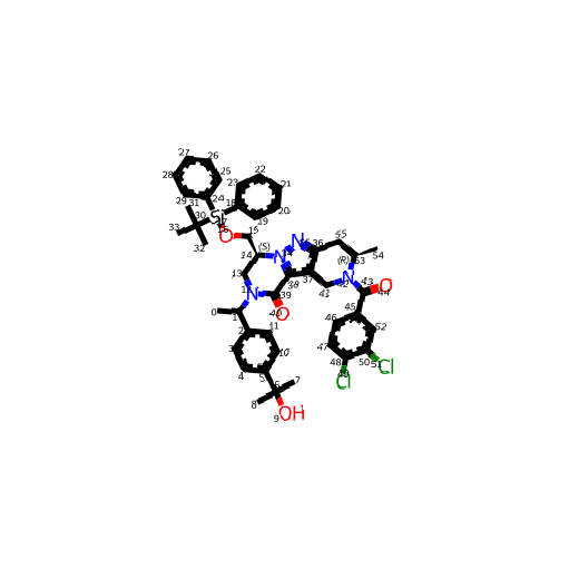 CC(c1ccc(C(C)(C)O)cc1)N1C[C@@H](CO[Si](c2ccccc2)(c2ccccc2)C(C)(C)C)n2nc3c(c2C1=O)CN(C(=O)c1ccc(Cl)c(Cl)c1)[C@H](C)C3